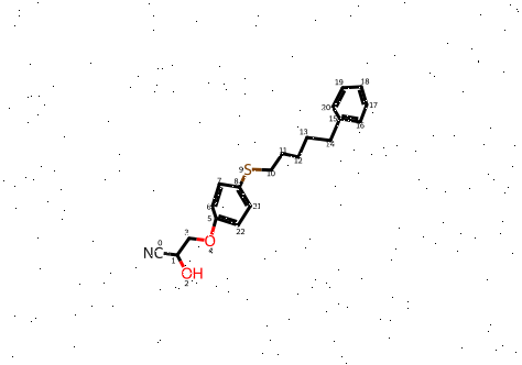 N#CC(O)COc1ccc(SCCCCCc2ccccc2)cc1